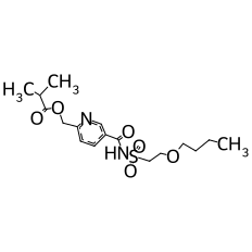 CCCCOCCS(=O)(=O)NC(=O)c1ccc(COC(=O)C(C)C)nc1